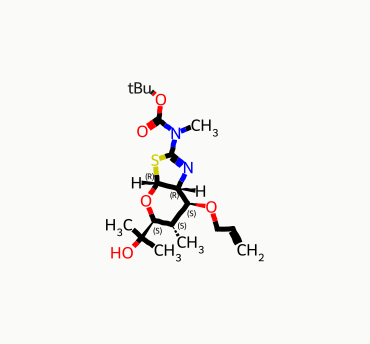 C=CCO[C@H]1[C@H](C)[C@@H](C(C)(C)O)O[C@@H]2SC(N(C)C(=O)OC(C)(C)C)=N[C@H]12